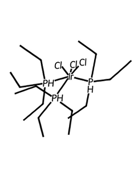 CC[PH](CC)(CC)[Ir]([Cl])([Cl])([Cl])([PH](CC)(CC)CC)[PH](CC)(CC)CC